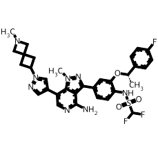 C[C@H](Oc1cc(-c2nn(C)c3c(-c4cnn(C5CC6(C5)CN(C)C6)c4)cnc(N)c23)ccc1NS(=O)(=O)C(F)F)c1ccc(F)cc1